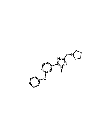 Cn1nc(CN2CCCC2)nc1-c1cccc(Oc2ccccc2)c1